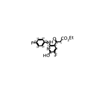 CCOC(=O)CC(=O)c1cc(F)c(O)nc1Nc1ccc(F)cc1